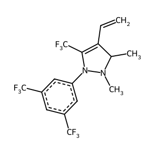 C=CC1=C(C(F)(F)F)N(c2cc(C(F)(F)F)cc(C(F)(F)F)c2)N(C)C1C